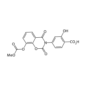 COC(=O)Oc1cccc2c(=O)n(-c3ccc(C(=O)O)c(O)c3)c(=O)oc12